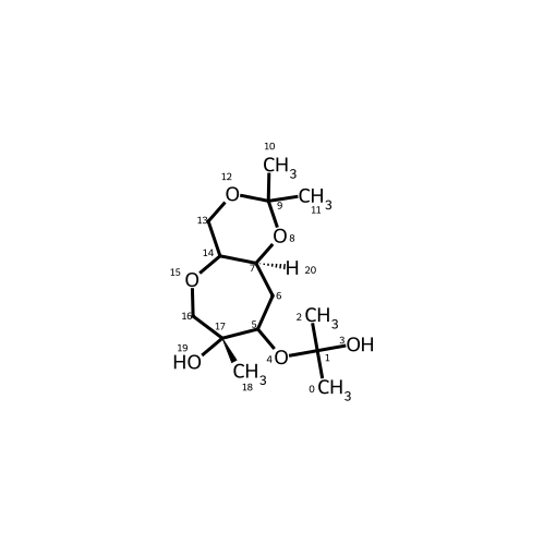 CC(C)(O)OC1C[C@@H]2OC(C)(C)OCC2OC[C@@]1(C)O